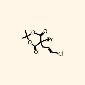 CC(C)C1(CC=CCl)C(=O)OC(C)(C)OC1=O